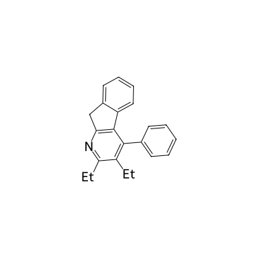 CCc1nc2c(c(-c3ccccc3)c1CC)-c1ccccc1C2